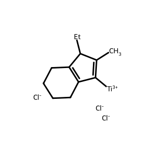 CCC1C(C)=[C]([Ti+3])C2=C1CCCC2.[Cl-].[Cl-].[Cl-]